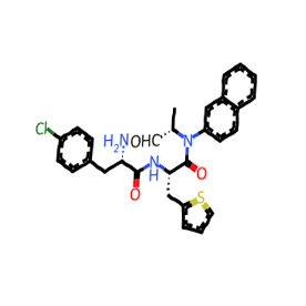 C[C@@H]([C]=O)N(C(=O)[C@H](Cc1cccs1)NC(=O)[C@@H](N)Cc1ccc(Cl)cc1)c1ccc2ccccc2c1